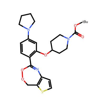 CC(C)(C)OC(=O)N1CCC(Oc2cc(N3CCCC3)ccc2C2=Nc3ccsc3COO2)CC1